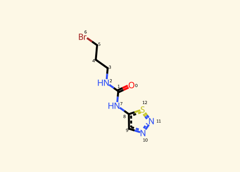 O=C(NCCCBr)Nc1cnns1